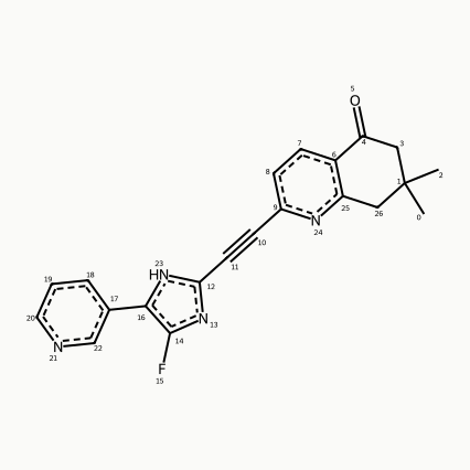 CC1(C)CC(=O)c2ccc(C#Cc3nc(F)c(-c4cccnc4)[nH]3)nc2C1